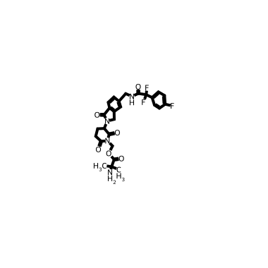 CC(C)(N)C(=O)OCN1C(=O)CCC(N2Cc3cc(CNC(=O)C(F)(F)c4ccc(F)cc4)ccc3C2=O)C1=O